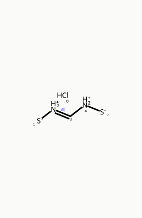 Cl.[S-]/[NH+]=C/[NH2+][S-]